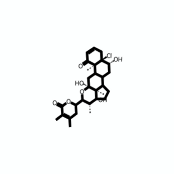 CC1=C(C)C(=O)OC(C2O[C@@]3(O)CC4C(C[C@@H](O)[C@@]5(Cl)CC=CC(=O)[C@]45C)C4CC[C@@](O)([C@@H]2C)[C@]43C)C1